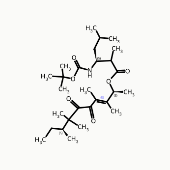 CC[C@H](C)C(C)(C)C(=O)C(=O)/C(C)=C(\C)[C@H](C)OC(=O)C(C)[C@H](CC(C)C)NC(=O)OC(C)(C)C